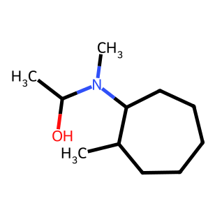 CC1CCCCCC1N(C)C(C)O